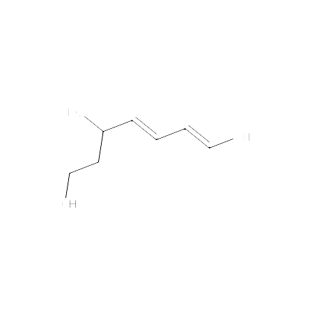 CC=CC=CC(C)CCC